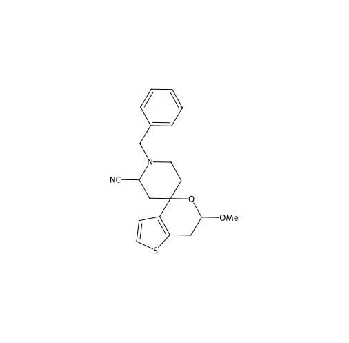 COC1Cc2sccc2C2(CCN(Cc3ccccc3)C(C#N)C2)O1